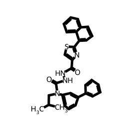 CC(C)CN(C(=O)NNC(=O)c1csc(-c2cccc3ccccc23)n1)c1cccc(-c2ccccc2)c1